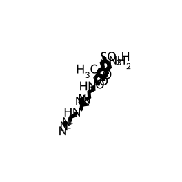 Cc1c(CC(=O)NCCCn2cc(CNCCCN=[N+]=[N-])nn2)c(=O)oc2cc(N)c(S(=O)(=O)O)cc12